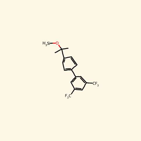 CC(C)(O[SiH3])c1ccc(-c2cc(C(F)(F)F)cc(C(F)(F)F)c2)cc1